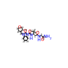 CC(C)(C)[C@@H](CC(=O)NCC(N)=O)NC(=O)n1c(=O)n(CC2CCOCC2)c2ccccc21